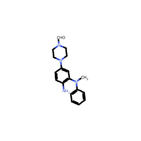 CN(c1ccccc1)c1cc(N2CCN(C=O)CC2)ccc1N